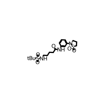 CC(C)(C)S(=O)(=O)NCCCCC(=O)Nc1cccc(N2CCCS2(=O)=O)c1